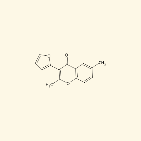 Cc1ccc2oc(C)c(-c3ccco3)c(=O)c2c1